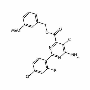 COc1cccc(COC(=O)c2nc(-c3ccc(Cl)cc3F)nc(N)c2Cl)c1